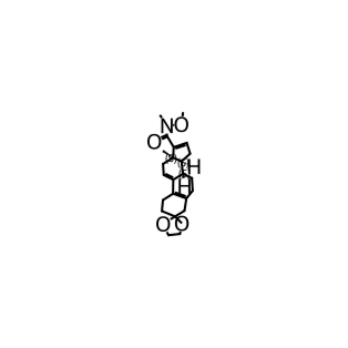 CON(C)C(=O)C1=CC[C@H]2[C@@H]3CCC4=C(CCC5(C4)OCCO5)C3=CC[C@]12C